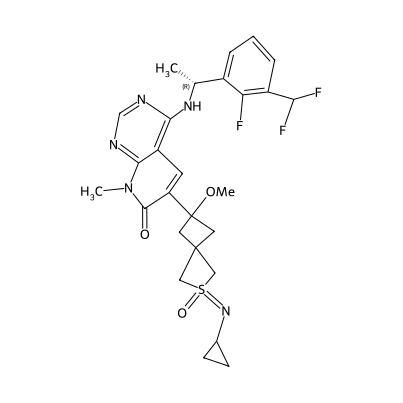 COC1(c2cc3c(N[C@H](C)c4cccc(C(F)F)c4F)ncnc3n(C)c2=O)CC2(C1)CS(=O)(=NC1CC1)C2